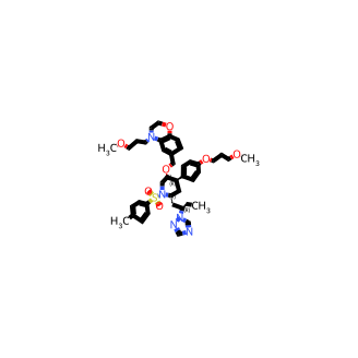 CC[C@H](C[C@H]1C[C@H](c2ccc(OCCCOC)cc2)[C@@H](OCc2ccc3c(c2)N(CCCOC)CCO3)CN1S(=O)(=O)c1ccc(C)cc1)n1cncn1